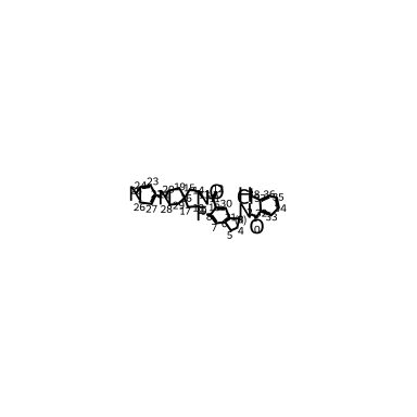 O=C(N[C@@H]1CCc2cc(F)c(C(=O)N3CCC4(CC3)CCN(c3ccncc3)CC4)cc21)c1ccccc1Cl